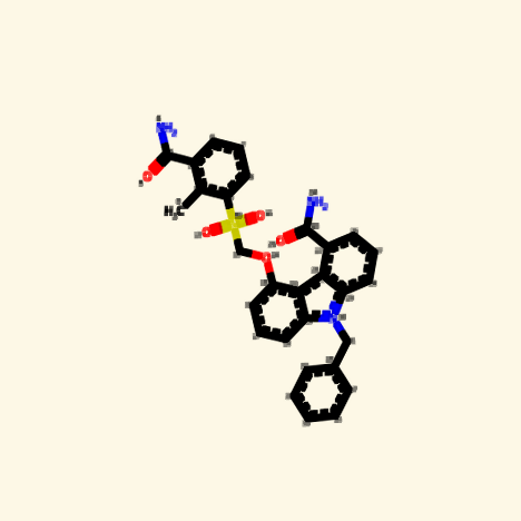 Cc1c(C(N)=O)cccc1S(=O)(=O)COc1cccc2c1c1c(C(N)=O)cccc1n2Cc1ccccc1